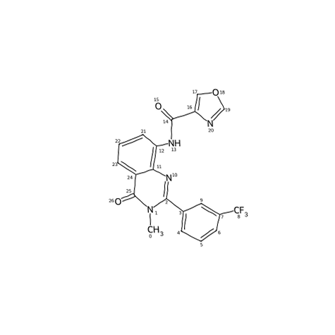 Cn1c(-c2cccc(C(F)(F)F)c2)nc2c(NC(=O)c3cocn3)cccc2c1=O